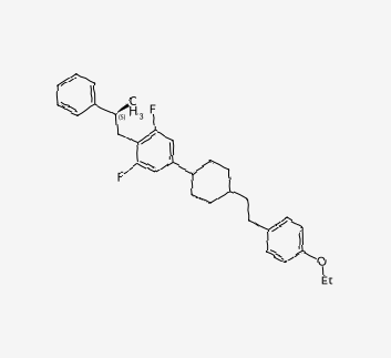 CCOc1ccc(CCC2CCC(c3cc(F)c(C[C@H](C)c4ccccc4)c(F)c3)CC2)cc1